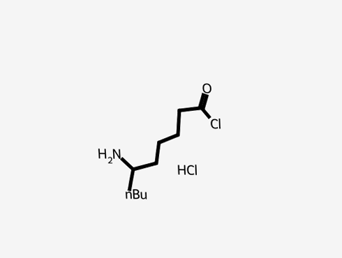 CCCCC(N)CCCCC(=O)Cl.Cl